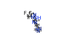 Cc1c(Nc2ncc(C(F)(F)F)c(C3CC3)n2)cnn1C1CC(c2ncnn2C)C1